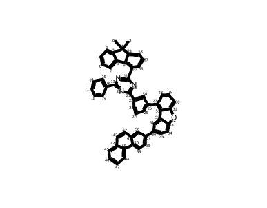 CC1(C)c2ccccc2-c2c(-c3nc(-c4ccccc4)nc(-c4cccc(-c5cccc6oc7ccc(-c8ccc9c(ccc%10ccccc%109)c8)cc7c56)c4)n3)cccc21